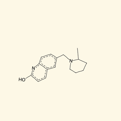 CC1CCCCN1Cc1ccc2nc(O)ccc2c1